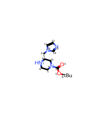 CC(C)(C)OC(=O)N1CCN[C@H](Cn2ccnc2)C1